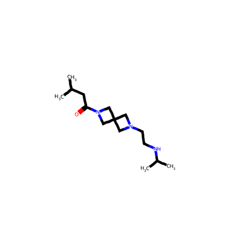 CC(C)CC(=O)N1CC2(CN(CCNC(C)C)C2)C1